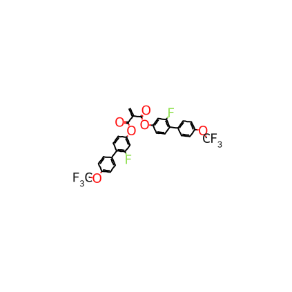 C=C(C(=O)Oc1ccc(-c2ccc(OC(F)(F)F)cc2)c(F)c1)C(=O)Oc1ccc(-c2ccc(OC(F)(F)F)cc2)c(F)c1